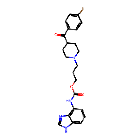 O=C(Nc1cccc2[nH]cnc12)OCCCN1CCC(C(=O)c2ccc(Br)cc2)CC1